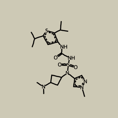 CC(C)c1cc(NC(=O)NS(=O)(=O)N(c2cnn(C)c2)C2CC(N(C)C)C2)c(C(C)C)s1